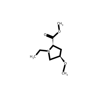 CCN1C[C@H](OC)C[C@H]1C(=O)OC